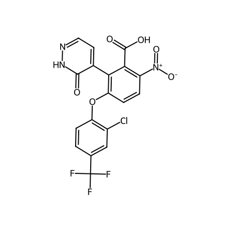 O=C(O)c1c([N+](=O)[O-])ccc(Oc2ccc(C(F)(F)F)cc2Cl)c1-c1ccn[nH]c1=O